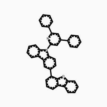 c1ccc(-c2cc(-c3ccccc3)nc(-n3c4ccccc4c4cc(-c5cccc6c5oc5ccccc56)ccc43)c2)cc1